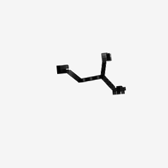 CCCC(CC)CC#N